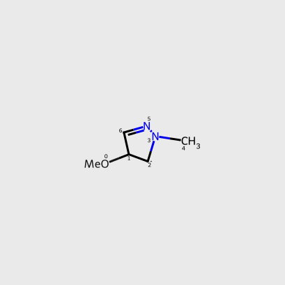 COC1[CH]N(C)N=C1